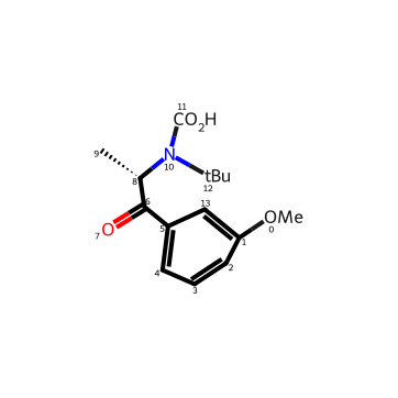 COc1cccc(C(=O)[C@H](C)N(C(=O)O)C(C)(C)C)c1